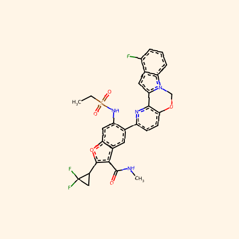 CCS(=O)(=O)Nc1cc2oc(C3CC3(F)F)c(C(=O)NC)c2cc1-c1ccc2c(n1)-c1cc3c(F)cccc3n1CO2